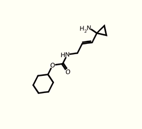 NC1(/C=C/CNC(=O)OC2CCCCC2)CC1